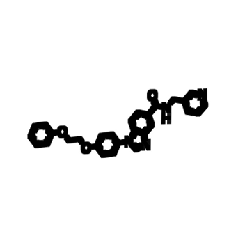 O=C(NCc1cccnc1)c1ccc2c(c1)ncn2-c1ccc(OCCOc2ccccc2)cc1